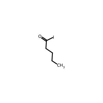 CCCCC(=O)I